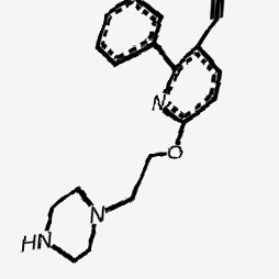 N#Cc1ccc(OCCN2CCNCC2)nc1-c1ccccc1